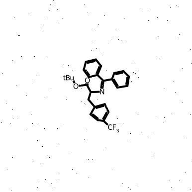 CC(C)(C)OC(=O)C(Cc1ccc(C(F)(F)F)cc1)N=C(c1ccccc1)c1ccccc1